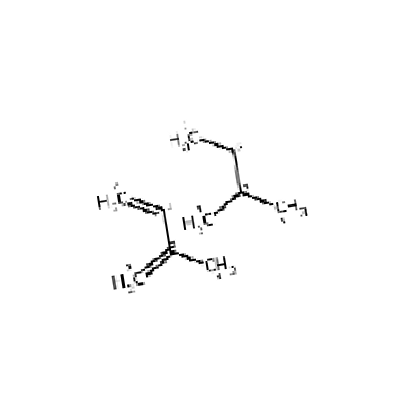 C=CC(=C)C.CCC(C)C